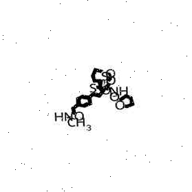 CNC(=O)Cc1ccc(-c2ccc([C@@]3(CC(=O)NOC4CCCCO4)CCCCS3(=O)=O)s2)cc1